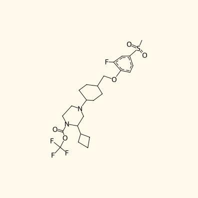 CS(=O)(=O)c1ccc(OCC2CCC(N3CCN(C(=O)OC(F)(F)F)C(C4CCC4)C3)CC2)c(F)c1